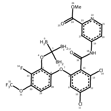 BC(B)(B)Oc1c(Oc2cc(Cl)cc(Cl)c2C(=O)Nc2ccnc(C(=O)OC)c2)ccc(OC(F)(F)F)c1F